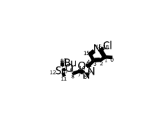 Cc1cc(-c2nnc(CO[Si](C)(C)C(C)(C)C)o2)cnc1Cl